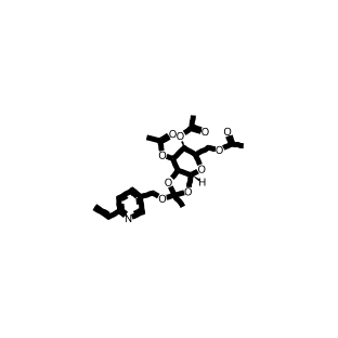 C=Cc1ccc(COC2(C)OC3C(OC(C)=O)[C@H](OC(C)=O)C(COC(C)=O)O[C@H]3O2)cn1